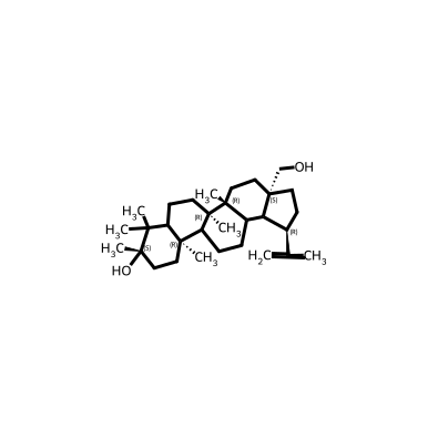 C=C(C)[C@@H]1CC[C@]2(CO)CC[C@]3(C)C(CCC4[C@@]5(C)CC[C@](C)(O)C(C)(C)C5CC[C@]43C)C12